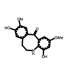 COc1cc(O)c2c(c1)C(=O)c1cc(O)c(O)cc1CCN2